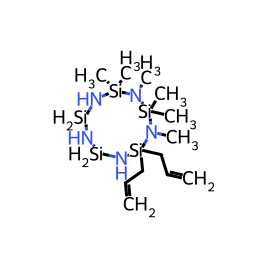 C=CC[Si]1(CC=C)N[SiH2]N[SiH2]N[Si](C)(C)N(C)[Si](C)(C)N1C